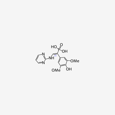 COc1cc(/C(=C\Nc2ncccn2)P(=O)(O)O)cc(OC)c1O